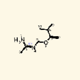 C=C(OC/N=C(/C)N)C(C)C